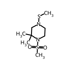 CSN1CCN(S(C)(=O)=O)C(C)(C)C1